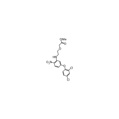 COC(=O)COCCNc1cc(Oc2ccc(Cl)cc2Cl)ccc1[N+](=O)[O-]